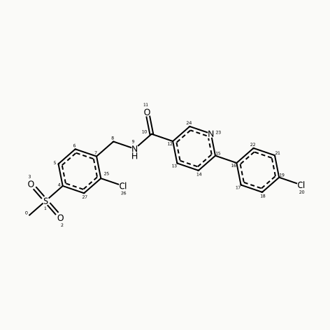 CS(=O)(=O)c1ccc(CNC(=O)c2ccc(-c3ccc(Cl)cc3)nc2)c(Cl)c1